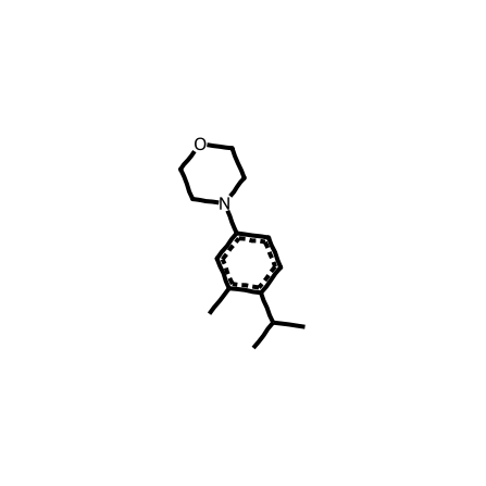 Cc1cc(N2CCOCC2)ccc1C(C)C